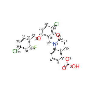 O=C(O)Oc1cccc2c1CCC(=O)N2Cc1cc(Cl)ccc1OCc1ccc(Cl)cc1F